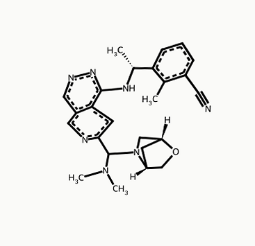 Cc1c(C#N)cccc1[C@@H](C)Nc1nncc2cnc(C(N(C)C)N3C[C@H]4C[C@@H]3CO4)cc12